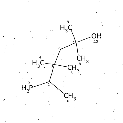 CC(P)C(C)(C)CC(C)(C)O